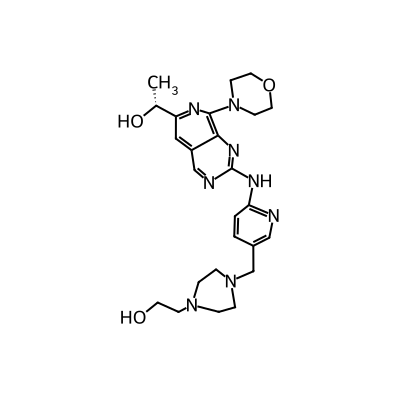 C[C@@H](O)c1cc2cnc(Nc3ccc(CN4CCN(CCO)CC4)cn3)nc2c(N2CCOCC2)n1